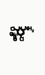 Nc1cc(Cl)c([N+](=O)[O-])c(Cl)n1